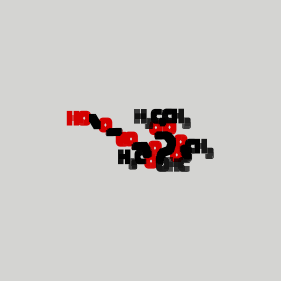 CC1(C)OCC(C2OC(C)(CC=O)OC2C2COC(C)(CCOOCCOCCO)O2)O1